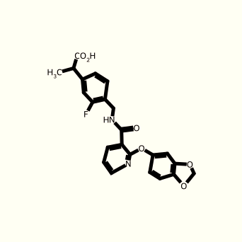 CC(C(=O)O)c1ccc(CNC(=O)c2cccnc2Oc2ccc3c(c2)OCO3)c(F)c1